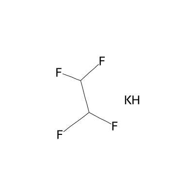 FC(F)C(F)F.[KH]